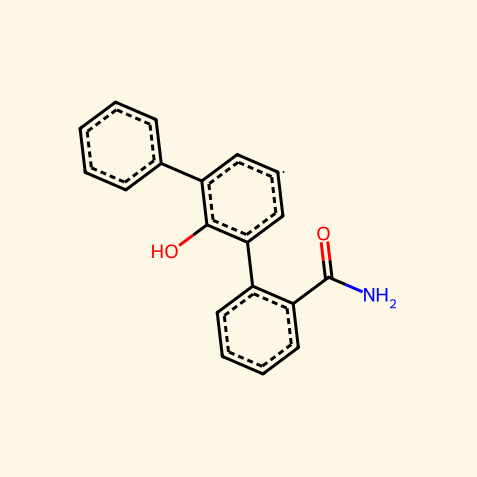 NC(=O)c1ccccc1-c1c[c]cc(-c2ccccc2)c1O